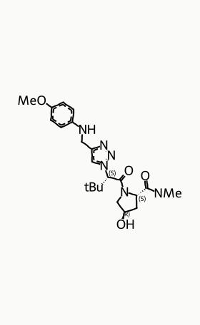 CNC(=O)[C@@H]1C[C@@H](O)CN1C(=O)[C@@H](n1cc(CNc2ccc(OC)cc2)nn1)C(C)(C)C